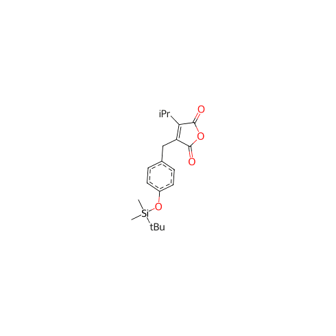 CC(C)C1=C(Cc2ccc(O[Si](C)(C)C(C)(C)C)cc2)C(=O)OC1=O